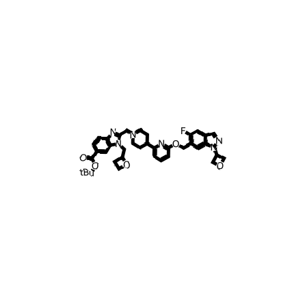 CC(C)(C)OC(=O)c1ccc2nc(CN3CCC(c4cccc(OCc5cc6c(cnn6C6COC6)cc5F)n4)CC3)n(CC3CCO3)c2c1